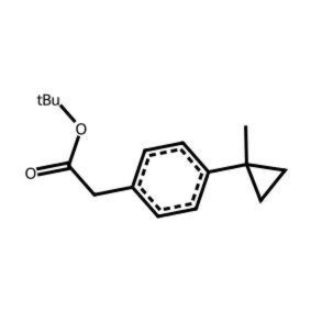 CC(C)(C)OC(=O)Cc1ccc(C2(C)CC2)cc1